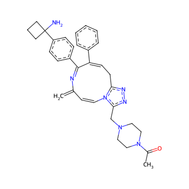 C=C1/C=C\n2c(nnc2CN2CCN(C(C)=O)CC2)C/C=C(c2ccccc2)\C(c2ccc(C3(N)CCC3)cc2)=N/1